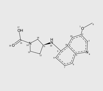 COc1cnc2cccc(N[C@H]3CCN(C(=O)O)C3)c2c1